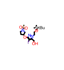 CC(C)(C)[Si](C)(C)OCCn1nc(O[C@H]2CCN(S(C)(=O)=O)C2)c(I)c1CO